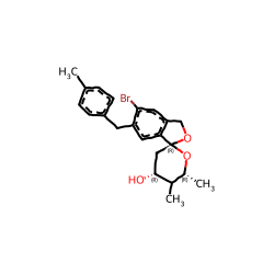 Cc1ccc(Cc2cc3c(cc2Br)CO[C@@]32C[C@@H](O)C(C)[C@@H](C)O2)cc1